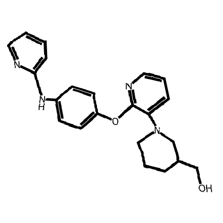 OCC1CCCN(c2cccnc2Oc2ccc(Nc3ccccn3)cc2)C1